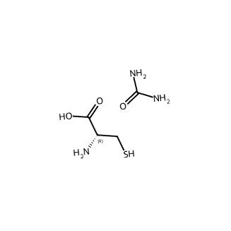 NC(N)=O.N[C@@H](CS)C(=O)O